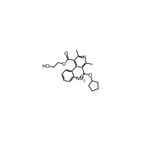 Cc1nc(C)c(C(=O)OC2CCCC2)c(-c2ccccc2[N+](=O)[O-])c1C(=O)OCCO